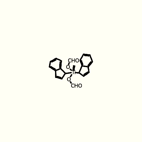 [CH2]=[Ti]([O]C=O)([O]C=O)([CH]1C=Cc2ccccc21)[CH]1C=Cc2ccccc21